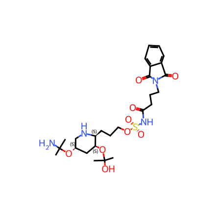 CC(C)(N)O[C@@H]1CN[C@@H](CCCOS(=O)(=O)NC(=O)CCCN2C(=O)c3ccccc3C2=O)[C@@H](OC(C)(C)O)C1